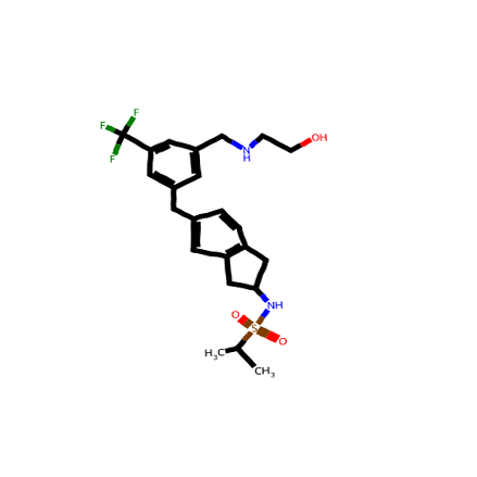 CC(C)S(=O)(=O)NC1Cc2ccc(Cc3cc(CNCCO)cc(C(F)(F)F)c3)cc2C1